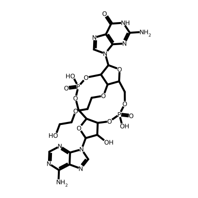 Nc1nc2c(ncn2C2OC3COP(=O)(O)OC4C(COP(=O)(O)OC2C3OCCOCCO)OC(n2cnc3c(N)ncnc32)C4O)c(=O)[nH]1